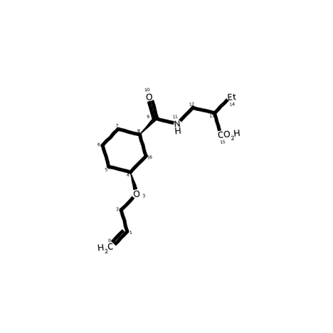 C=CCO[C@H]1CCC[C@@H](C(=O)NCC(CC)C(=O)O)C1